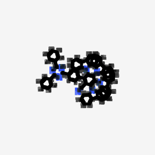 N#Cc1c(-c2ccc(-c3nc(-c4ccccc4)nc(-c4ccccc4)n3)cc2)c(-n2c3ccccc3c3ccccc32)c(-n2c3ccccc3c3ccccc32)c(-n2c3ccccc3c3ccccc32)c1-n1c2ccccc2c2ccccc21